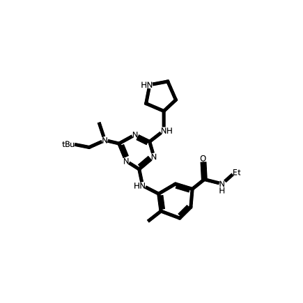 CCNC(=O)c1ccc(C)c(Nc2nc(NC3CCNC3)nc(N(C)CC(C)(C)C)n2)c1